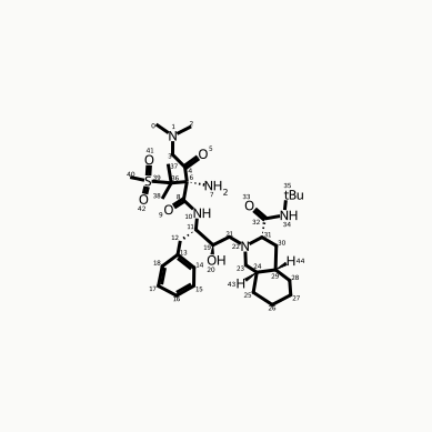 CN(C)CC(=O)[C@@](N)(C(=O)N[C@@H](Cc1ccccc1)[C@H](O)CN1C[C@H]2CCCC[C@H]2C[C@H]1C(=O)NC(C)(C)C)C(C)(C)S(C)(=O)=O